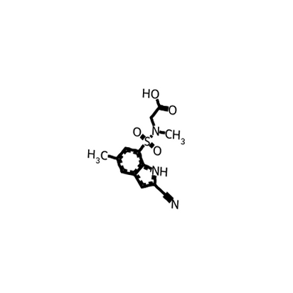 Cc1cc(S(=O)(=O)N(C)CC(=O)O)c2[nH]c(C#N)cc2c1